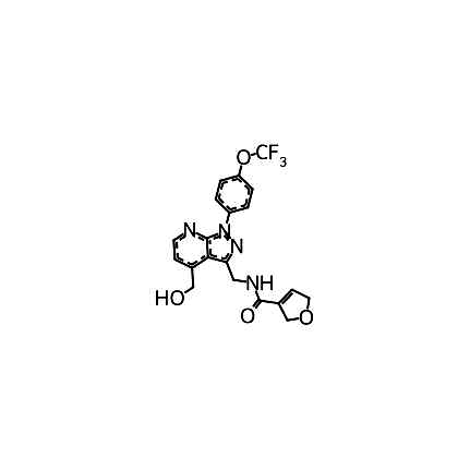 O=C(NCc1nn(-c2ccc(OC(F)(F)F)cc2)c2nccc(CO)c12)C1=CCOC1